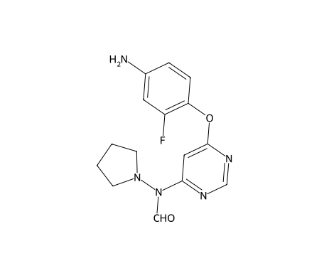 Nc1ccc(Oc2cc(N(C=O)N3CCCC3)ncn2)c(F)c1